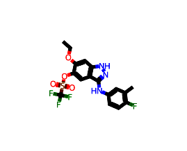 CCOc1cc2[nH]nc(Nc3ccc(F)c(C)c3)c2cc1OS(=O)(=O)C(F)(F)F